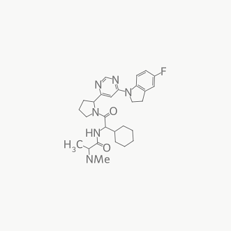 CNC(C)C(=O)NC(C(=O)N1CCCC1c1cc(N2CCc3cc(F)ccc32)ncn1)C1CCCCC1